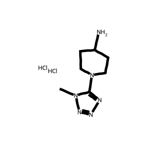 Cl.Cl.Cn1nnnc1N1CCC(N)CC1